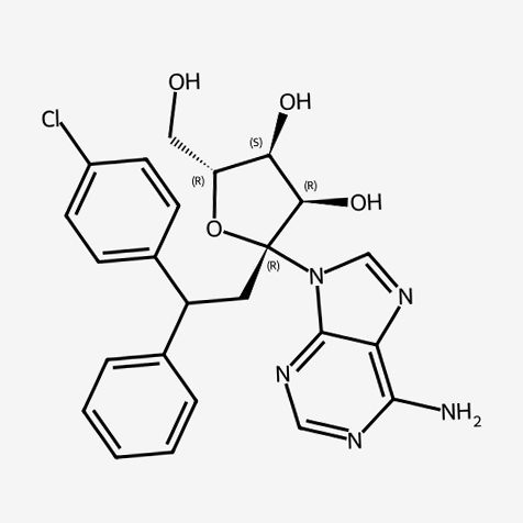 Nc1ncnc2c1ncn2[C@]1(CC(c2ccccc2)c2ccc(Cl)cc2)O[C@H](CO)[C@@H](O)[C@H]1O